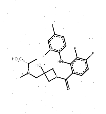 C[C@@H](C(=O)O)N(C)CC1(O)CN(C(=O)c2ccc(F)c(F)c2Nc2ccc(I)cc2F)C1